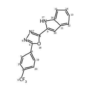 FC(F)(F)c1ccc(-c2nnc(-c3cc4ccccc4[nH]3)o2)cc1